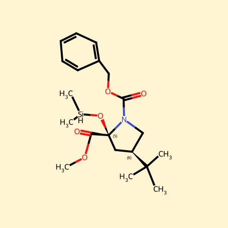 COC(=O)[C@@]1(O[SiH](C)C)C[C@H](C(C)(C)C)CN1C(=O)OCc1ccccc1